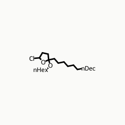 CCCCCCCCCCCCCCCCC1(OCCCCCC)CCC(Cl)O1